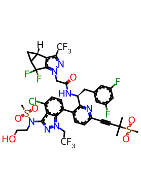 CC(C)(C#Cc1ccc(-c2ccc(Cl)c3c(N(CCO)S(C)(=O)=O)nn(CC(F)(F)F)c23)c([C@H](Cc2cc(F)cc(F)c2)NC(=O)Cn2nc(C(F)(F)F)c3c2C(F)(F)C2C[C@H]32)n1)S(C)(=O)=O